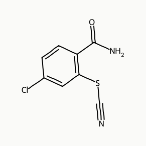 N#CSc1cc(Cl)ccc1C(N)=O